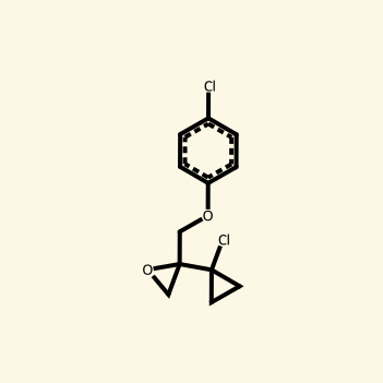 Clc1ccc(OCC2(C3(Cl)CC3)CO2)cc1